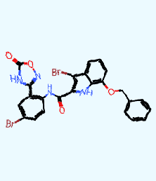 O=C(Nc1ccc(Br)cc1-c1noc(=O)[nH]1)c1[nH]c2c(OCc3ccccc3)cccc2c1Br